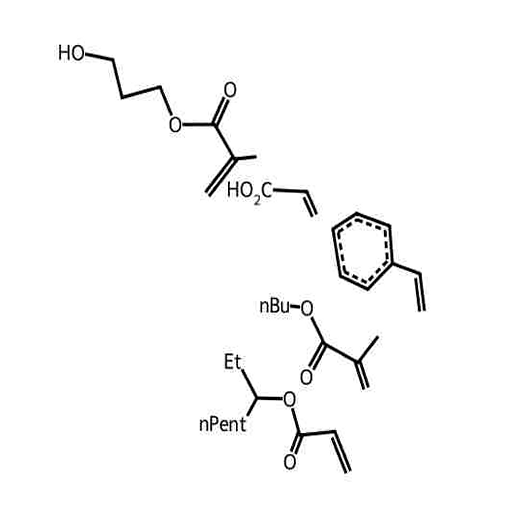 C=C(C)C(=O)OCCCC.C=C(C)C(=O)OCCCO.C=CC(=O)O.C=CC(=O)OC(CC)CCCCC.C=Cc1ccccc1